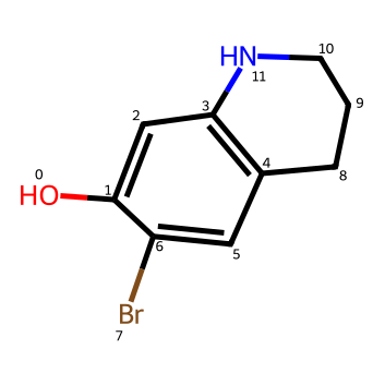 Oc1cc2c(cc1Br)CCCN2